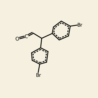 O=C=CC(c1ccc(Br)cc1)c1ccc(Br)cc1